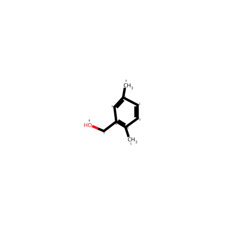 Cc1ccc(C)c([CH]O)c1